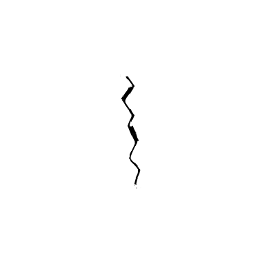 C/C=C/CC=CCCCCCC